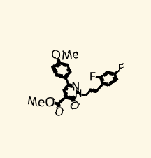 COC(=O)c1cc(-c2ccc(OC)cc2)nn(CC=Cc2ccc(F)cc2F)c1=O